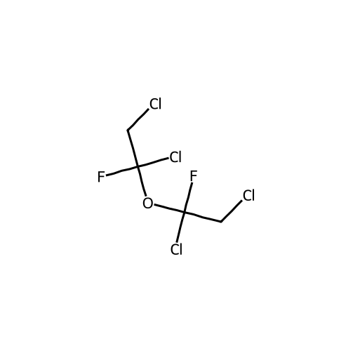 FC(Cl)(CCl)OC(F)(Cl)CCl